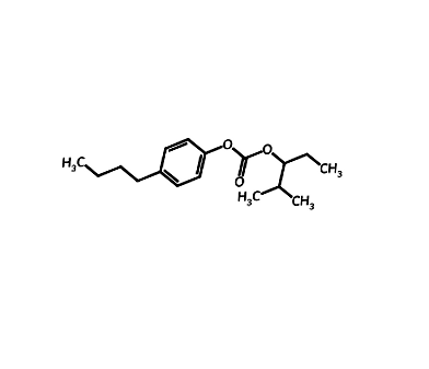 CCCCc1ccc(OC(=O)OC(CC)C(C)C)cc1